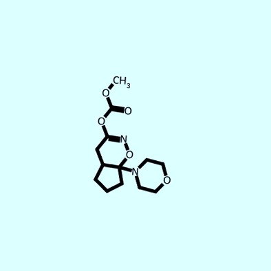 COC(=O)OC1=NOC2(N3CCOCC3)CCCC2C1